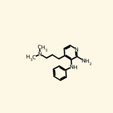 CN(C)CCCc1ccnc(N)c1Nc1ccccc1